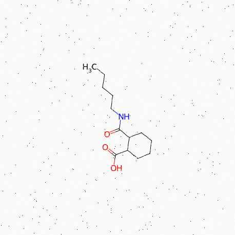 CCCCCNC(=O)C1CCCCC1C(=O)O